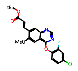 COc1cc2c(Oc3ccc(Cl)cc3F)ncnc2cc1/C=C/C(=O)OC(C)(C)C